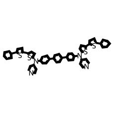 c1ccc(-c2ccc(-c3ccc(N(c4ccncc4)c4ccc(-c5ccc(-c6ccc(N(c7ccncc7)c7ccc(-c8ccc(-c9ccccc9)s8)s7)cc6)cc5)cc4)s3)s2)cc1